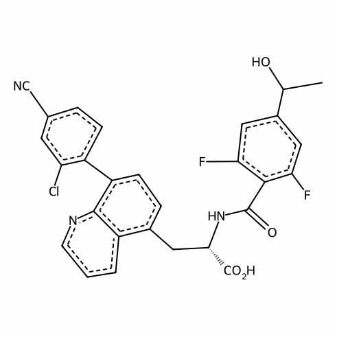 CC(O)c1cc(F)c(C(=O)N[C@@H](Cc2ccc(-c3ccc(C#N)cc3Cl)c3ncccc23)C(=O)O)c(F)c1